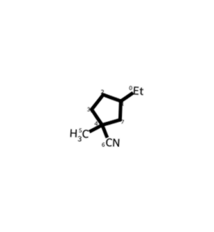 [CH2]CC1C[CH]C(C)(C#N)C1